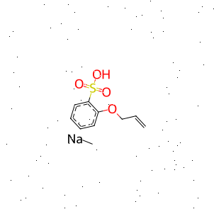 C=CCOc1ccccc1S(=O)(=O)O.[CH3][Na]